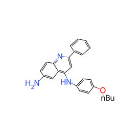 CCCCOc1ccc(Nc2cc(-c3ccccc3)nc3ccc(N)cc23)cc1